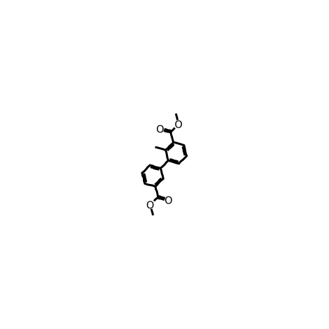 COC(=O)c1cccc(-c2cccc(C(=O)OC)c2C)c1